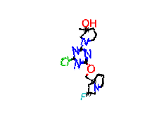 C[C@@]1(O)CCCN(c2nc(Cl)nc(OC[C@@]34CCCN3C[C@H](F)C4)n2)C1